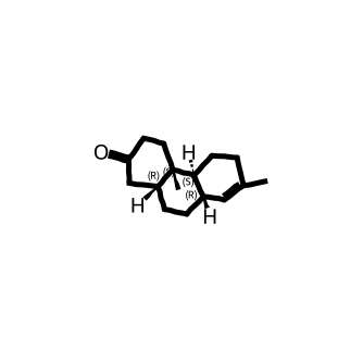 CC1=C[C@@H]2CC[C@@H]3CC(=O)CC[C@]3(C)[C@H]2CC1